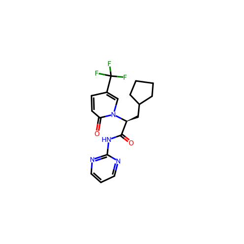 O=C(Nc1ncccn1)[C@H](CC1CCCC1)n1cc(C(F)(F)F)ccc1=O